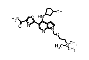 C[Si](C)(C)CCOCn1ccc2c(N[C@H]3CC[C@@H](O)C3)c(-c3nc(C(N)=O)co3)cnc21